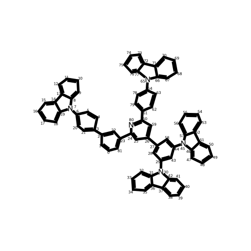 c1cc(-c2ccc(-n3c4ccccc4c4ccccc43)cc2)cc(-c2cc(-c3cc(-n4c5ccccc5c5ccccc54)cc(-n4c5ccccc5c5ccccc54)c3)cc(-c3ccc(-n4c5ccccc5c5ccccc54)cc3)n2)c1